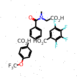 CN(CC(=O)O)C(=O)c1ccccc1.O=C(O)c1cc(F)c(F)c(F)c1F.O=C(O)c1ccc(OC(F)(F)F)cc1